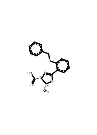 C[C@H]1OC(c2ccccc2OCc2ccccc2)=N[C@H]1C(=O)O